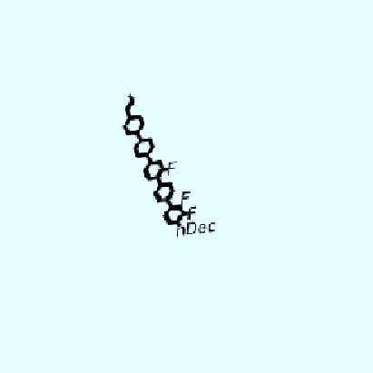 C/C=C/C1CCC(C2CC=C(c3ccc(-c4ccc(-c5ccc(CCCCCCCCCC)c(F)c5F)cc4)c(F)c3)CC2)CC1